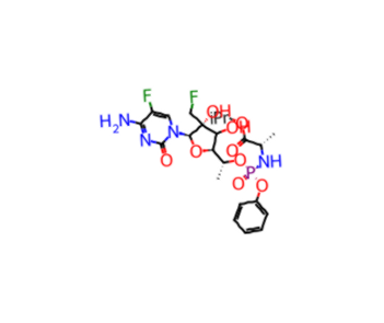 CC(C)OC(=O)[C@H](C)N[P@](=O)(Oc1ccccc1)O[C@H](C)[C@H]1O[C@@H](n2cc(F)c(N)nc2=O)[C@@](O)(CF)C1O